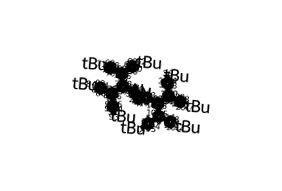 CC(C)(C)c1ccc(-c2cc(-c3ccc(C(C)(C)C)cc3)cc(-c3cc(-c4cc(-c5ccc(C(C)(C)C)cc5)cc(-c5ccc(C(C)(C)C)cc5)c4)cc(-c4cnc5c(ccc6cc(-c7cc(-c8cc(-c9ccc(C(C)(C)C)cc9)cc(-c9ccc(C(C)(C)C)cc9)c8)cc(-c8cc(-c9ccc(C(C)(C)C)cc9)cc(-c9ccc(C(C)(C)C)cc9)c8)c7)cnc65)c4)c3)c2)cc1